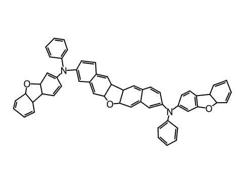 C1=CC2Oc3cc(N(c4ccccc4)c4ccc5c(c4)=CC4OC6C=c7cc(N(C8=CC9OC%10C=CC=CC%10C9C=C8)c8ccccc8)ccc7=CC6C4C=5)ccc3C2C=C1